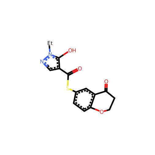 CCn1ncc(C(=O)Sc2ccc3c(c2)C(=O)CCO3)c1O